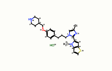 CCc1cn(CCCc2ccc(OCC3CCNCC3)cc2)c(-c2cc3sccc3n2C)n1.Cl